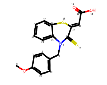 COc1ccc(CN2C(=S)/C(=C/C(=O)O)Sc3ccccc32)cc1